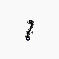 O=C(CCOCCOCCNC(=O)OC[C@@H]1[C@@H]2CC/C=C\CC[C@@H]21)ON1C(=O)CCC1=O